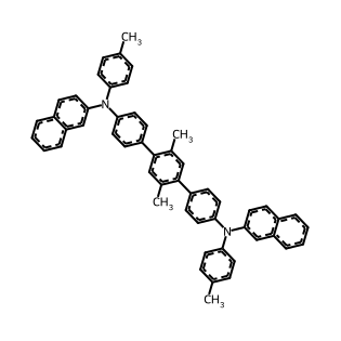 Cc1ccc(N(c2ccc(-c3cc(C)c(-c4ccc(N(c5ccc(C)cc5)c5ccc6ccccc6c5)cc4)cc3C)cc2)c2ccc3ccccc3c2)cc1